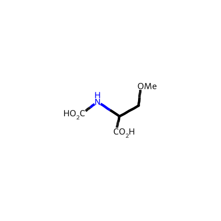 COCC(NC(=O)O)C(=O)O